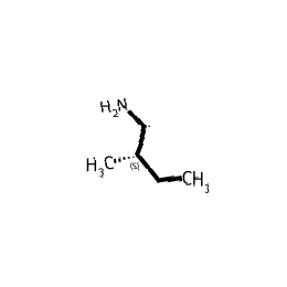 CC[C@H](C)[CH]N